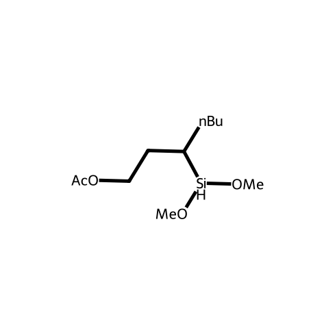 CCCCC(CCOC(C)=O)[SiH](OC)OC